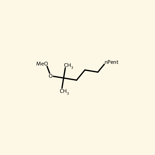 CCCCCCCCC(C)(C)OOC